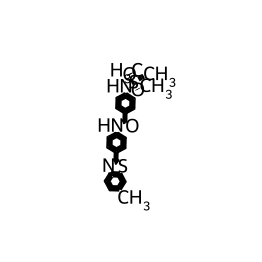 Cc1ccc2nc(-c3ccc(NC(=O)c4ccc(NS(=O)(=O)C(C)(C)C)cc4)cc3)sc2c1